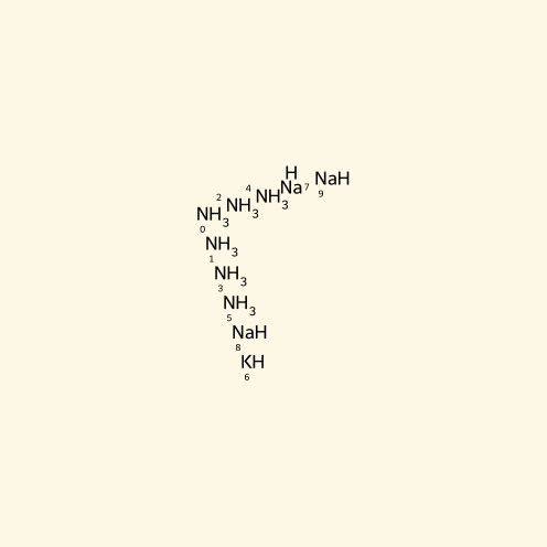 N.N.N.N.N.N.[KH].[NaH].[NaH].[NaH]